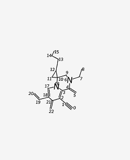 C#CC1=C2C(=C)N(CC)CC3(CC3CCC)N2C=C(C=C)C1=C